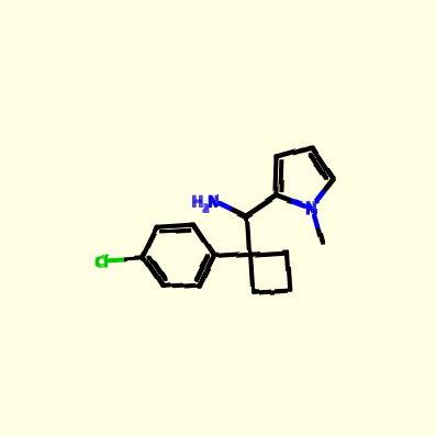 Cn1cccc1C(N)C1(c2ccc(Cl)cc2)CCC1